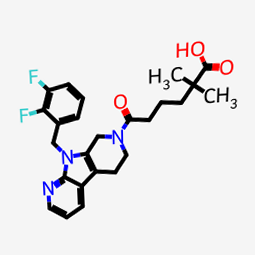 CC(C)(CCCC(=O)N1CCc2c(n(Cc3cccc(F)c3F)c3ncccc23)C1)C(=O)O